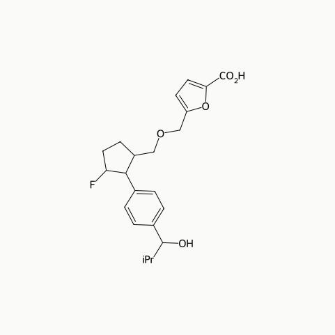 CC(C)C(O)c1ccc(C2C(F)CCC2COCc2ccc(C(=O)O)o2)cc1